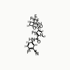 Cn1cc(S(=O)(=O)NC2(C(F)(F)F)CCC2)c(F)c1C(=O)Nc1ccc(F)c(C#N)c1